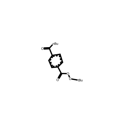 CCCCC(=O)c1ccc(C(=O)OOC(C)(C)C)cc1